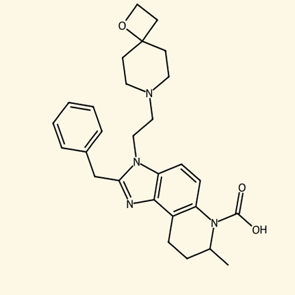 CC1CCc2c(ccc3c2nc(Cc2ccccc2)n3CCN2CCC3(CCO3)CC2)N1C(=O)O